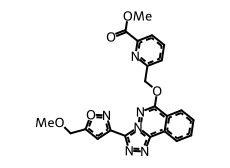 COCc1cc(-c2nnc3c4ccccc4c(OCc4cccc(C(=O)OC)n4)nn23)no1